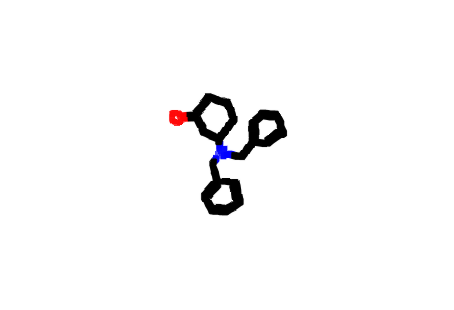 O=C1CCCC(N(Cc2ccccc2)Cc2ccccc2)C1